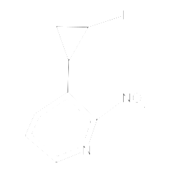 O=[N+]([O-])c1ncccc1C1CC1F